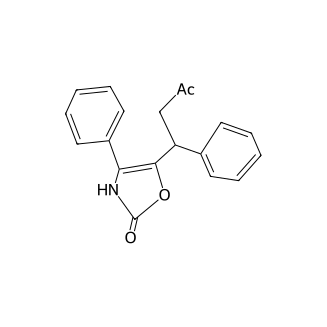 CC(=O)CC(c1ccccc1)c1oc(=O)[nH]c1-c1ccccc1